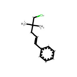 CC(C)([CH]C=Cc1ccccc1)CCl